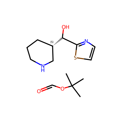 CC(C)(C)OC=O.OC(c1nccs1)[C@H]1CCCNC1